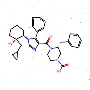 O=C(O)N1CCN(C(=O)c2ncn([C@@H]3CCCC[C@@]3(O)CC3CC3)c2-c2ccccc2)[C@H](Cc2ccccc2)C1